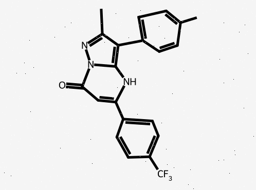 Cc1ccc(-c2c(C)nn3c(=O)cc(-c4ccc(C(F)(F)F)cc4)[nH]c23)cc1